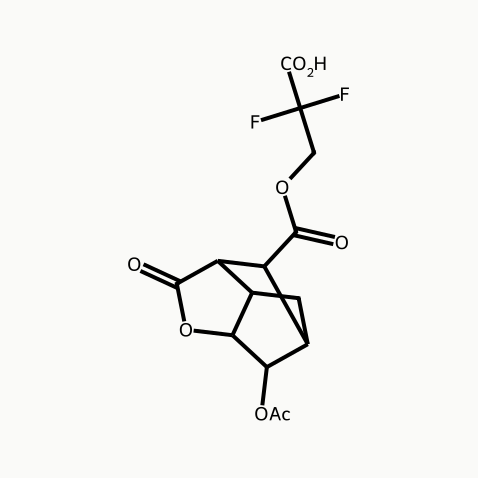 CC(=O)OC1C2CC3C1OC(=O)C3C2C(=O)OCC(F)(F)C(=O)O